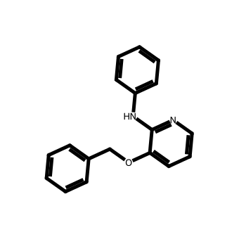 c1ccc(COc2cccnc2Nc2ccccc2)cc1